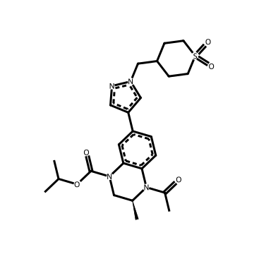 CC(=O)N1c2ccc(-c3cnn(CC4CCS(=O)(=O)CC4)c3)cc2N(C(=O)OC(C)C)C[C@@H]1C